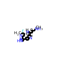 C=C(/C=C(\C=N/C)c1cnc2ccc(-c3c[nH]nc3-c3ccc(F)c(C)n3)cc2c1)CCNC